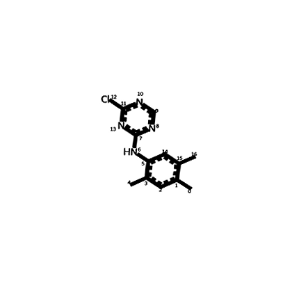 Cc1cc(C)c(Nc2ncnc(Cl)n2)cc1C